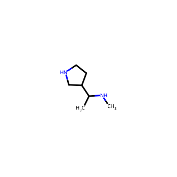 CNC(C)C1CCNC1